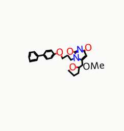 COC(c1cc(=O)nc2n1CC(COc1ccc(-c3ccccc3)cc1)O2)C1CCCO1